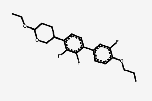 CCCOc1ccc(-c2ccc(C3CCC(OCC)OC3)c(F)c2F)cc1F